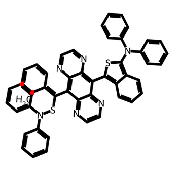 C=c1cccc/c1=C(/SN(c1ccccc1)c1ccccc1)c1c2nccnc2c(-c2sc(N(c3ccccc3)c3ccccc3)c3ccccc23)c2nccnc12